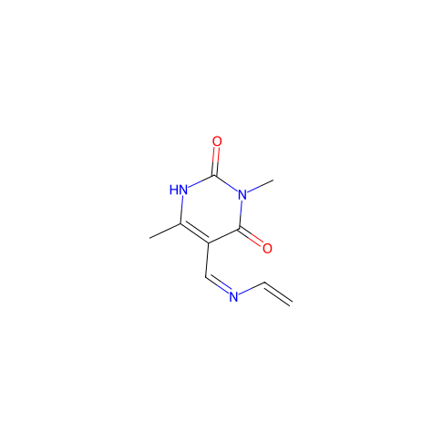 C=C/N=C\c1c(C)[nH]c(=O)n(C)c1=O